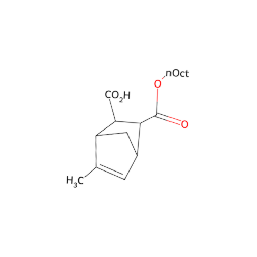 CCCCCCCCOC(=O)C1C2C=C(C)C(C2)C1C(=O)O